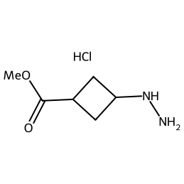 COC(=O)C1CC(NN)C1.Cl